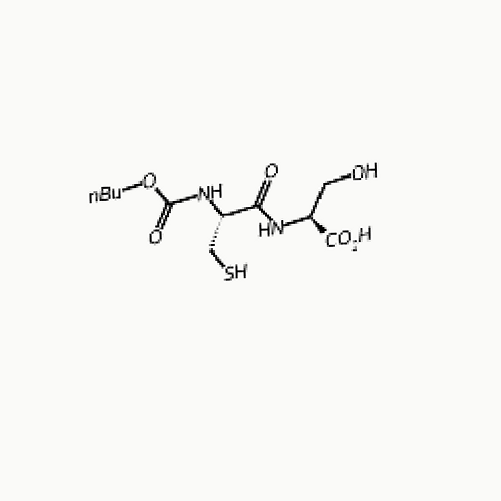 CCCCOC(=O)N[C@@H](CS)C(=O)N[C@@H](CO)C(=O)O